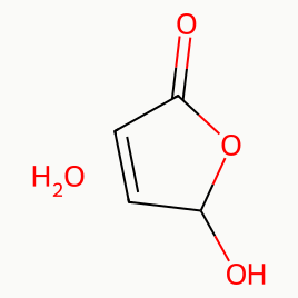 O.O=C1C=CC(O)O1